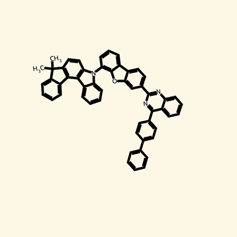 CC1(C)c2ccccc2-c2c1ccc1c2c2ccccc2n1-c1cccc2c1oc1cc(-c3nc(-c4ccc(-c5ccccc5)cc4)c4ccccc4n3)ccc12